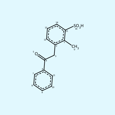 Cc1c(CC(=O)c2ccccc2)cccc1S(=O)(=O)O